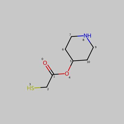 O=C(CS)OC1CCNCC1